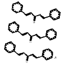 O=C(C=Cc1ccccc1)C=Cc1ccccc1.O=C(C=Cc1ccccc1)C=Cc1ccccc1.O=C(C=Cc1ccccc1)C=Cc1ccccc1.[Ar]